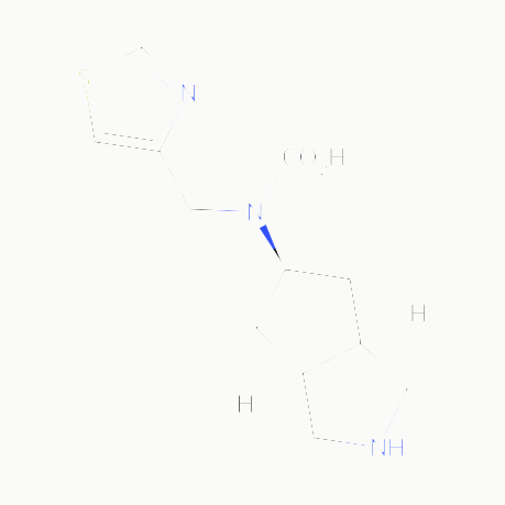 O=C(O)N(Cc1cscn1)[C@H]1C[C@H]2CNC[C@H]2C1